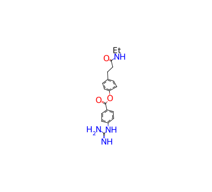 CCNC(=O)CCc1ccc(OC(=O)c2ccc(NC(=N)N)cc2)cc1